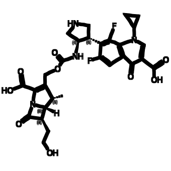 C[C@H]1C(COC(=O)N[C@H]2CNC[C@@H]2c2c(F)cc3c(=O)c(C(=O)O)cn(C4CC4)c3c2F)=C(C(=O)O)N2C(=O)[C@H](CCO)[C@@H]12